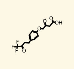 O=C(O)CC(=O)COc1ccc(CCC(=O)C(F)(F)F)cc1